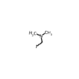 CN(C)CI